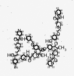 CC(C(=O)c1ccc(O)cc1)N1CCC(C(=O)Nc2ccccn2)CC1.CC(C(=O)c1ccc(OCc2ccccc2)cc1)N1CCC(C(=O)Nc2ccccn2)CC1.O=C(Nc1ccccn1)C1CCN(CCOc2ccc(O)cc2)CC1.O=C(Nc1ccncc1)C1CCN(CCCC(O)c2ccc(F)cc2)CC1